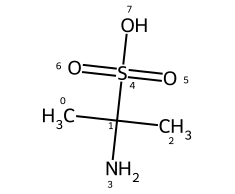 CC(C)(N)S(=O)(=O)O